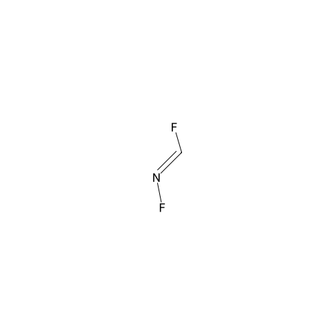 F/C=N/F